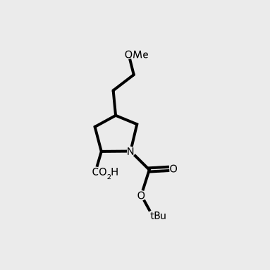 COCCC1CC(C(=O)O)N(C(=O)OC(C)(C)C)C1